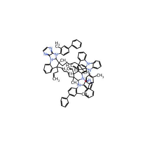 C=CCC1(CCCCC2(C)C3N(c4ccc(-c5ccccc5)cc4C)c4cccnc4N3c3ccccc3C2(C=C)CC)c2ccccc2N2c3nccnc3N(c3ccc(-c4ccccc4)cc3C)C2C1(C)CCCCC1(C=C)c2ccccc2N2c3ccccc3N(c3ccc(-c4ccccc4)cc3C)C2C1(C)CC